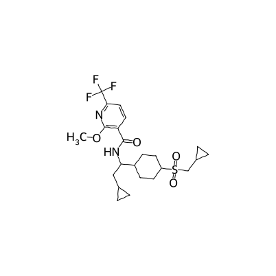 COc1nc(C(F)(F)F)ccc1C(=O)NC(CC1CC1)C1CCC(S(=O)(=O)CC2CC2)CC1